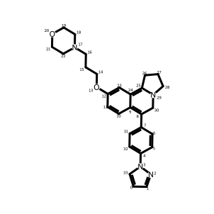 c1cnn(-c2ccc(C3=c4ccc(OCCCN5CCOCC5)cc4=C4CCCN4C3)cc2)c1